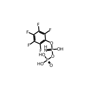 N=P(O)(Oc1c(F)c(F)c(F)c(F)c1F)OP(=O)(O)O